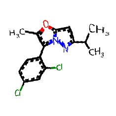 Cc1oc2cc(C(C)C)nn2c1-c1ccc(Cl)cc1Cl